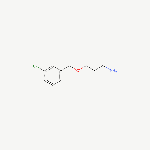 NCCCOCc1cccc(Cl)c1